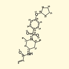 C=CC(=O)NC1CC(C)N(S(=O)(=O)c2ccc(OC3CCCC3)cc2)C(C)C1